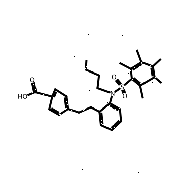 CCCCN(c1ccccc1CCc1ccc(C(=O)O)cc1)S(=O)(=O)c1c(C)c(C)c(C)c(C)c1C